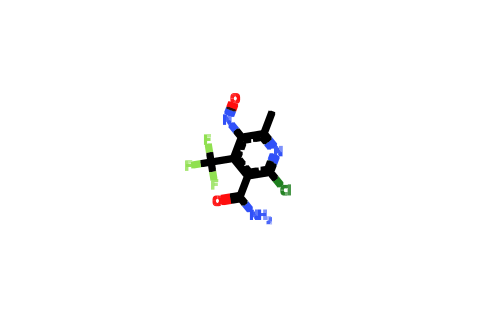 Cc1nc(Cl)c(C(N)=O)c(C(F)(F)F)c1N=O